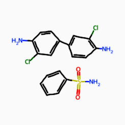 NS(=O)(=O)c1ccccc1.Nc1ccc(-c2ccc(N)c(Cl)c2)cc1Cl